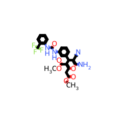 COC(=O)CC1=C(C(=O)OC)C(c2cccc(NC(=O)Nc3ccccc3C(F)(F)F)c2)C(C#N)=C(N)O1